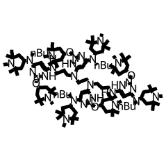 CCCCN(C1=NN(OC2CC(C)(C)N(C)C(C)(C)C2)NC(NCCCN(CCN(CCCNC2=CC(N(CCCC)C3CC(C)(C)N(C)C(C)(C)C3)=NN(OC3CC(C)(C)N(C)C(C)(C)C3)N2)C2=CC(N(CCCC)C3CC(C)(C)N(C)C(C)(C)C3)=NN(OC3CC(C)(C)N(C)C(C)(C)C3)N2)C2=CC(N(CCCC)C3CC(C)(C)N(C)C(C)(C)C3)=NN(OC3CC(C)(C)N(C)C(C)(C)C3)N2)=C1)C1CC(C)(C)N(C)C(C)(C)C1